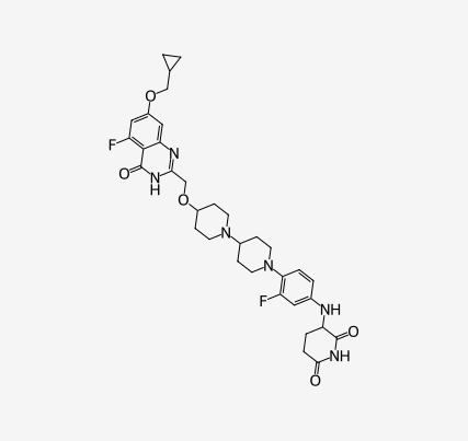 O=C1CCC(Nc2ccc(N3CCC(N4CCC(OCc5nc6cc(OCC7CC7)cc(F)c6c(=O)[nH]5)CC4)CC3)c(F)c2)C(=O)N1